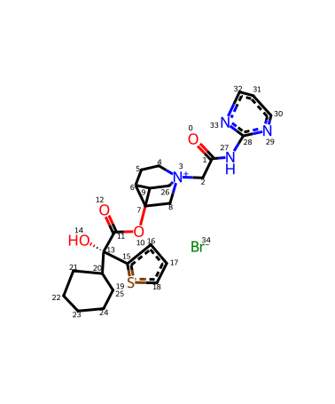 O=C(C[N+]12CCC(CC1)C(OC(=O)[C@@](O)(c1cccs1)C1CCCCC1)C2)Nc1ncccn1.[Br-]